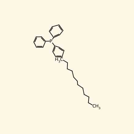 CCCCCCCCCCCC.c1ccc(P(c2ccccc2)c2ccccc2)cc1